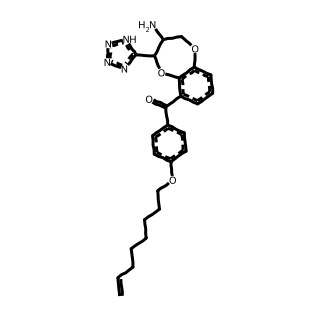 C=CCCCCCCOc1ccc(C(=O)c2cccc3c2OC(c2nnn[nH]2)C(N)CO3)cc1